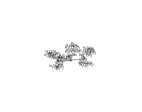 CC1(C)CC(ON2N=C(NC3CC(C)(C)N(C4CC(C)(C)NC(C)(C)C4)C(C)(C)C3)C=C(NCCCCCCN(CCCCCCNC3=CC(NC4CC(C)(C)N(C5CC(C)(C)NC(C)(C)C5)C(C)(C)C4)=NN(OC4CC(C)(C)NC(C)(C)C4)N3)C3=CC(NC4CC(C)(C)N(C5CC(C)(C)NC(C)(C)C5)C(C)(C)C4)=NN(OC4CC(C)(C)NC(C)(C)C4)N3)N2)CC(C)(C)N1